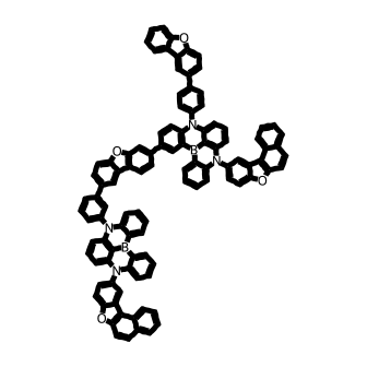 c1cc(-c2ccc3oc4cc(-c5ccc6c(c5)B5c7ccccc7N(c7ccc8oc9ccc%10ccccc%10c9c8c7)c7cccc(c75)N6c5ccc(-c6ccc7oc8ccccc8c7c6)cc5)ccc4c3c2)cc(N2c3ccccc3B3c4ccccc4N(c4ccc5oc6ccc7ccccc7c6c5c4)c4cccc2c43)c1